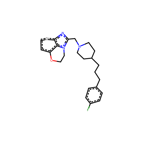 Fc1ccc(CCCC2CCN(Cc3nc4cccc5c4n3CCO5)CC2)cc1